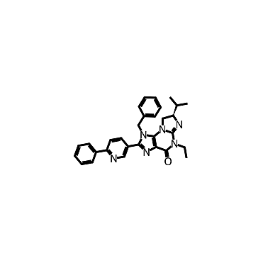 CCN1C(=O)c2nc(-c3ccc(-c4ccccc4)nc3)n(Cc3ccccc3)c2N2C[C@@H](C(C)C)N=C12